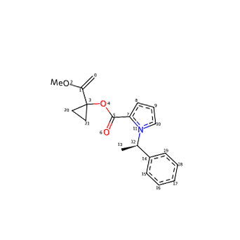 C=C(OC)C1(OC(=O)c2cccn2[C@H](C)c2ccccc2)CC1